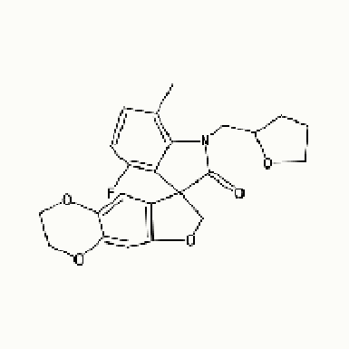 Cc1ccc(F)c2c1N(CC1CCCO1)C(=O)C21COc2cc3c(cc21)OCCO3